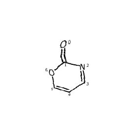 O=c1nccco1